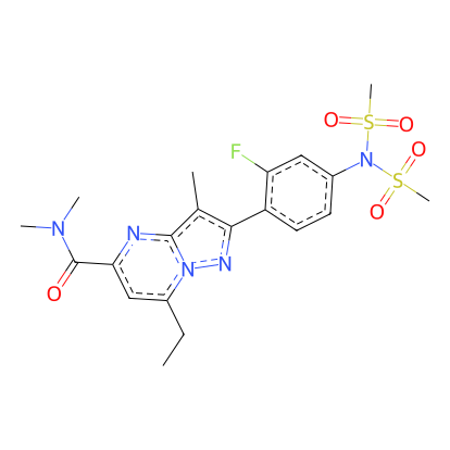 CCc1cc(C(=O)N(C)C)nc2c(C)c(-c3ccc(N(S(C)(=O)=O)S(C)(=O)=O)cc3F)nn12